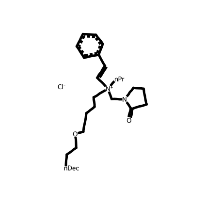 CCCCCCCCCCCCOCCCC[N+](C=Cc1ccccc1)(CCC)CN1CCCC1=O.[Cl-]